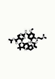 C=CC(=O)Nc1cc(Nc2ncc(C(=O)OC(C)C)c(N3CC(C)(C)c4nc5c(cc43)CCC5)n2)c(OC)cc1N(C)CCN(C)C